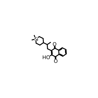 CC(CC1=C(O)C(=O)c2ccccc2C1=O)C1CC[Si](C)(C)CC1